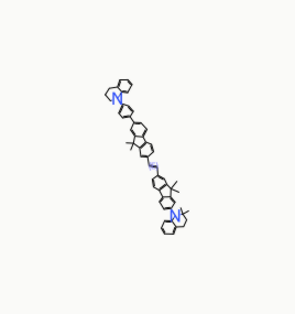 CC1(C)c2cc(/C=C/c3ccc4c(c3)C(C)(C)c3cc(N5c6ccccc6CCC5(C)C)ccc3-4)ccc2-c2ccc(-c3ccc(N4CCCc5ccccc54)cc3)cc21